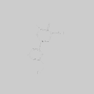 CCSc1cccc(-c2cc(N)c(=O)n(C)c2)c1